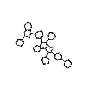 c1ccc(-c2ccc(-c3nn4c(-c5ccccc5)c(-c5cccc(-c6nc(-c7ccccc7)nc7ccccc67)c5)c5ccccc5c4c3-c3ccccc3)cc2)cc1